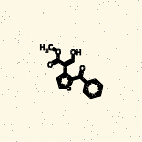 COC(=O)C(=CO)c1ccsc1C(=O)c1ccccc1